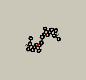 c1ccc(-c2cc(-c3c4ccccc4c(-c4ccccc4-c4ccc5cc(-c6ccc7cc(-c8ccccc8-c8c9ccccc9c(-c9ccc(-c%10ccccc%10)c%10oc%11ccccc%11c9%10)c9ccccc89)ccc7c6)ccc5c4)c4ccccc34)c3c(c2)oc2ccccc23)cc1